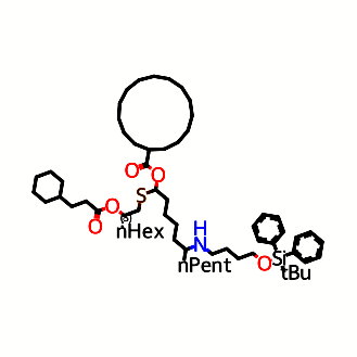 CCCCCC[C@@H](CSC(CCCCC(CCCCC)NCCCCO[Si](c1ccccc1)(c1ccccc1)C(C)(C)C)OC(=O)C1CCCCCCCCCCCCCC1)OC(=O)CCC1CCCCC1